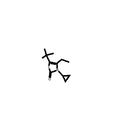 CCc1c(C(C)(C)C)sc(=O)n1C1CC1